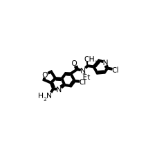 CCN(C(=O)c1cc2c3c(c(N)nc2cc1Cl)COC3)[C@@H](C)c1ccc(Cl)nc1